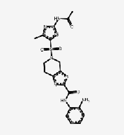 CC(=O)Nc1nc(C)c(S(=O)(=O)N2CCc3nc(C(=O)Nc4ccccc4N)sc3C2)s1